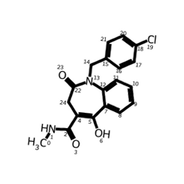 CNC(=O)C1=C(O)c2ccccc2N(Cc2ccc(Cl)cc2)C(=O)C1